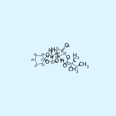 CCC(C)(C)C(=O)OC1C(=O)C[C@H]2[C@@H]1OC1OC3(CCCCC3)O[C@@H]12